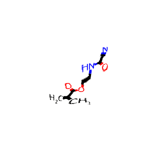 C=C(C)C(=O)OCCNC(=O)C#N